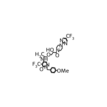 COc1ccc(Cn2ncc(N[C@@H](C)COCC(O)C(=O)N3CCN(c4ncc(C(F)(F)F)cn4)CC3)c(C(F)(F)F)c2=O)cc1